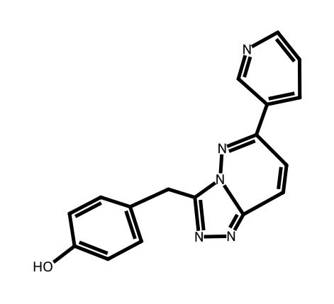 Oc1ccc(Cc2nnc3ccc(-c4cccnc4)nn23)cc1